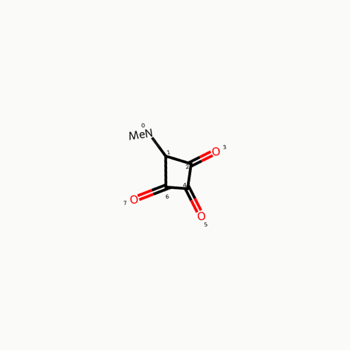 CNC1C(=O)C(=O)C1=O